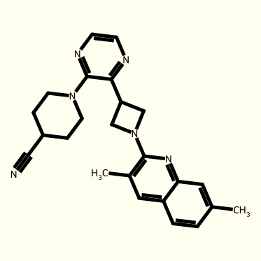 Cc1ccc2cc(C)c(N3CC(c4nccnc4N4CCC(C#N)CC4)C3)nc2c1